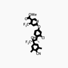 COC(=O)c1cnc(Oc2ccc([C@H](C)[C@](O)(c3cc(C)c(C#N)c(C)c3)C(F)(F)F)c(Cl)c2)cc1C(F)(F)F